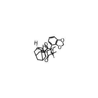 CNC(=O)[C@]12CC3CC(C1)[C@@H](N1C(=O)C(C)(C)C1c1cccc4c1OCO4)[C@@H](C3)C2